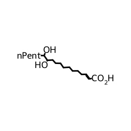 CCCCCC(O)C(O)CCCCCCCC/C=C/C(=O)O